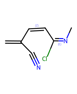 C=C(C#N)/C=C\C(Cl)=N/C